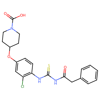 O=C(Cc1ccccc1)NC(=S)Nc1ccc(OC2CCN(C(=O)O)CC2)cc1Cl